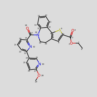 CCOC(=O)c1cc2c(s1)-c1ccccc1N(C(=O)c1cccc(-c3ccc(OC)nc3)n1)CC2